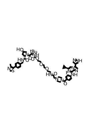 Cc1ncsc1-c1ccc(CNC(=O)[C@@H]2C[C@@H](O)CN2C(=O)[C@@H](NC(=O)OCCOCCOCCNC(=O)CN2CCN(C(=O)c3ccc(Nc4nc(C5CC5)cn5c(-c6cn[nH]c6)cnc45)c(F)c3)CC2)C(C)(C)C)cc1